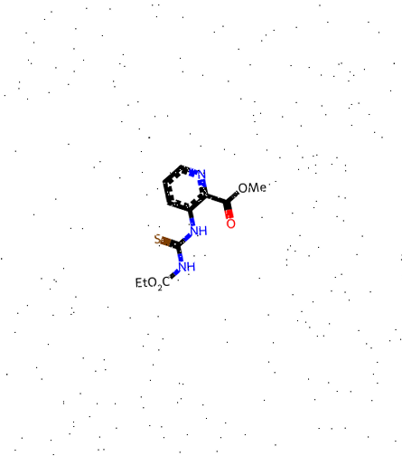 CCOC(=O)NC(=S)Nc1cccnc1C(=O)OC